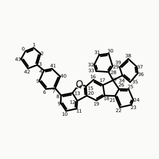 c1ccc(-c2ccc(-c3cccc4c3oc3cc5c(cc34)-c3ccccc3C5(c3ccccc3)c3ccccc3)cc2)cc1